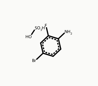 Nc1ccc(Br)cc1F.O=S(=O)(O)O